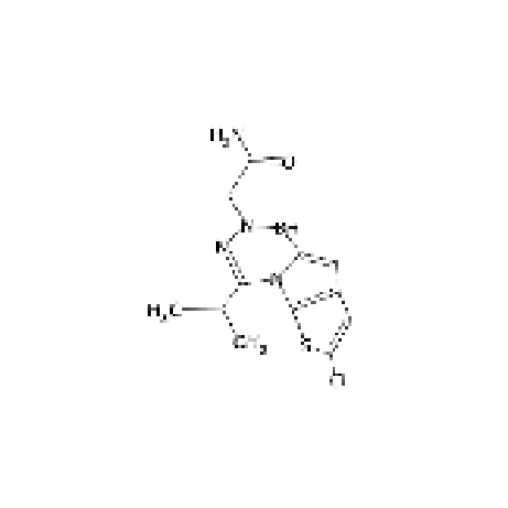 CC(C)C1=NN(CC(N)=O)Bc2cc3cc(Cl)sc3n21